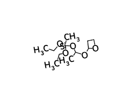 CCO[Si](C)(OCC)OC(C)OC1CCO1